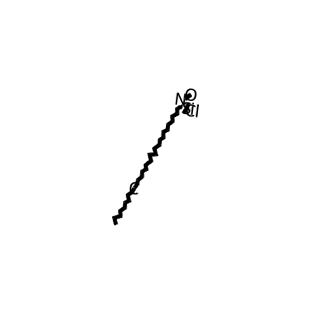 CCCCCCCCCCCCCCCCCCCCCCCCCCCCCCC(N=C=O)[Si](C)(C)Cl